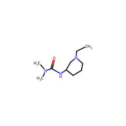 CCN1CCCC(NC(=O)N(C)C)C1